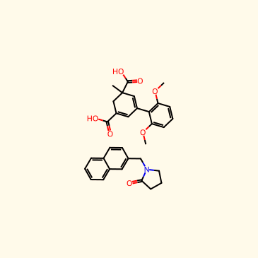 COc1cccc(OC)c1C1=CC(C)(C(=O)O)CC(C(=O)O)=C1.O=C1CCCN1Cc1ccc2ccccc2c1